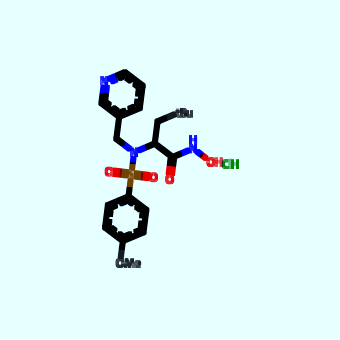 COc1ccc(S(=O)(=O)N(Cc2cccnc2)C(CC(C)(C)C)C(=O)NO)cc1.Cl